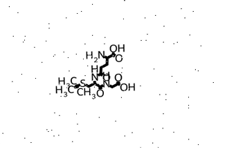 CC(C)(C)SCC(NC(=O)CCC(N)C(=O)O)C(=O)NCC(=O)O